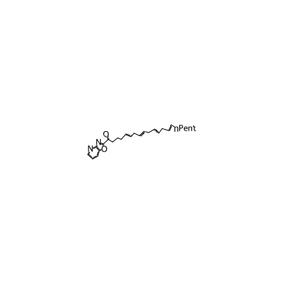 CCCCCC=CCC=CCC=CCC=CCCCC(=O)c1nc2ncccc2o1